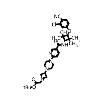 CC(C)(C)OC(=O)CN1CC(N2CCN(c3ccc(C(=O)N[C@H]4C(C)(C)[C@H](Oc5ccc(C#N)c(Cl)c5)C4(C)C)cn3)CC2)C1